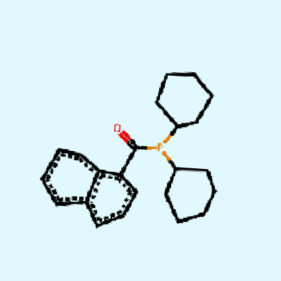 O=C(c1cccc2ccccc12)P(C1CCCCC1)C1CCCCC1